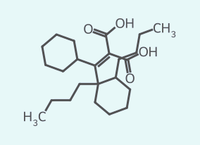 CCCCC1CCCCC1(CCCC)C(=C(C(=O)O)C(=O)O)C1CCCCC1